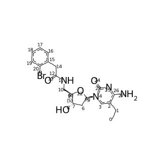 CCc1cn([C@H]2C[C@H](O)[C@@H](CNC(=O)Cc3ccccc3Br)O2)c(=O)nc1N